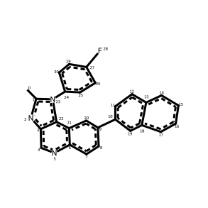 Cc1nc2cnc3ccc(-c4ccc5ccccc5c4)cc3c2n1-c1ccc(F)cc1